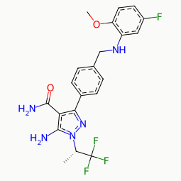 COc1ccc(F)cc1NCc1ccc(-c2nn([C@@H](C)C(F)(F)F)c(N)c2C(N)=O)cc1